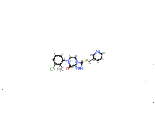 Cc1c(Cl)cccc1-n1ccn2c(SCc3cccnc3)nnc2c1=O